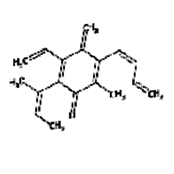 C=C/C=C\C1=C(C)C(=O)C(/C(C)=C\C)=C(C=C)C1=C